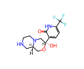 O=c1[nH]c(C(F)(F)F)ccc1[C@]1(O)CN2CCNC[C@H]2CO1